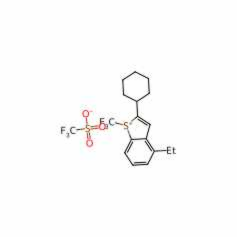 CCc1cccc2c1cc(C1CCCCC1)[s+]2C(F)(F)F.O=S(=O)([O-])C(F)(F)F